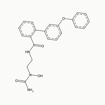 NC(=O)N(O)CCNC(=O)c1ccccc1-c1cccc(Oc2ccccc2)c1